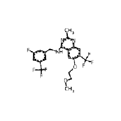 COCCOc1cc2c(NCc3cc(F)cc(C(F)(F)F)c3)nc(C)nc2cc1C(F)(F)F